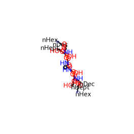 CCCCCC/C=C/CCCC(=O)OC(CCCCCCCCCCC)CC(=O)NC(COCC[C@H](O)CCCCCCC)COP(=O)(O)OCCNC(=O)c1ccccc1C(=O)NCCOP(=O)(O)OCC(COCC[C@H](O)CCCCCCC)NC(=O)CC(CCCCCCCCCCC)OC(=O)CCC/C=C/CCCCCC